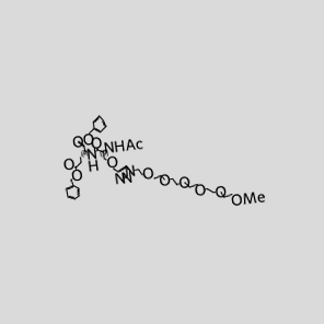 COCCOCCOCCOCCOCCOCCn1cc(COC[C@H](NC(C)=O)C(=O)N[C@H](CCC(=O)OCc2ccccc2)C(=O)OCc2ccccc2)nn1